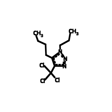 CCCCc1c(C(Cl)(Cl)Cl)nnn1CCC